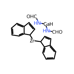 C1=C[CH]([Zr][CH]2C=Cc3ccccc32)c2ccccc21.O=C[NH][GaH][NH]C=O